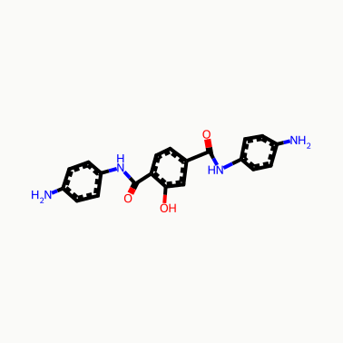 Nc1ccc(NC(=O)c2ccc(C(=O)Nc3ccc(N)cc3)c(O)c2)cc1